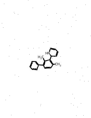 Cc1ccc(-c2ccccc2)c(C)c1C1C=CC=CN1